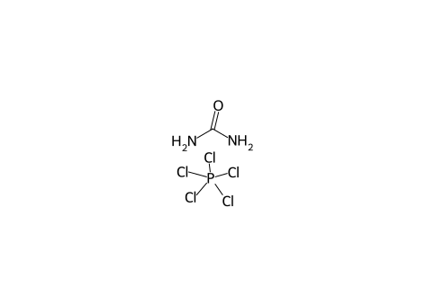 ClP(Cl)(Cl)(Cl)Cl.NC(N)=O